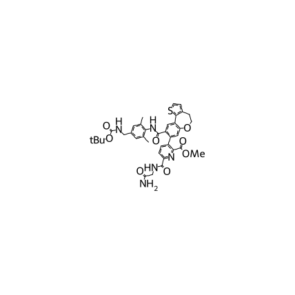 COC(=O)c1nc(C(=O)NCC(N)=O)ccc1-c1cc2c(cc1C(=O)Nc1c(C)cc(CNC(=O)OC(C)(C)C)cc1C)-c1sccc1CCO2